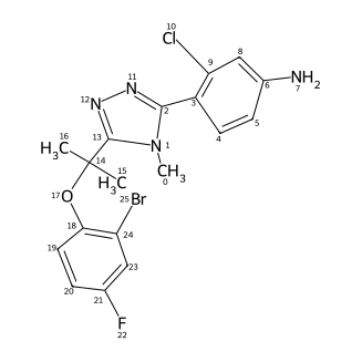 Cn1c(-c2ccc(N)cc2Cl)nnc1C(C)(C)Oc1ccc(F)cc1Br